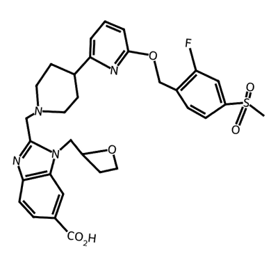 CS(=O)(=O)c1ccc(COc2cccc(C3CCN(Cc4nc5ccc(C(=O)O)cc5n4CC4CCO4)CC3)n2)c(F)c1